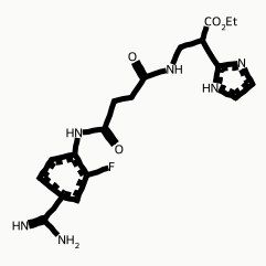 CCOC(=O)C(CNC(=O)CCC(=O)Nc1ccc(C(=N)N)cc1F)c1ncc[nH]1